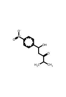 CC(C)C(=O)CC(O)c1ccc([N+](=O)[O-])cc1